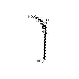 O=C(O)CCCCCCCCCCCCCCCCCCC(=O)NCC1CCC(C(=O)N[C@@H](CCC(=O)NCC(=O)O)C(=O)O)CC1